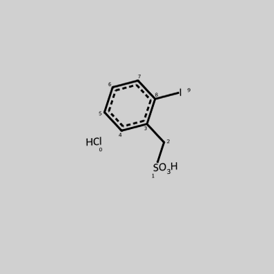 Cl.O=S(=O)(O)Cc1ccccc1I